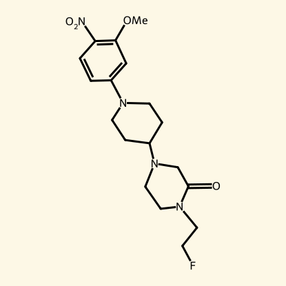 COc1cc(N2CCC(N3CCN(CCF)C(=O)C3)CC2)ccc1[N+](=O)[O-]